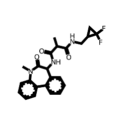 CC(C(=O)NCC1CC1(F)F)C(=O)NC1C(=O)N(C)c2ccccc2-c2ccccc21